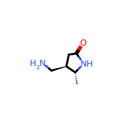 C[C@H]1NC(=O)C[C@@H]1CN